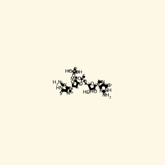 COP(=S)(OC[C@H]1O[C@@H](n2cnc3c(=S)[nH]c(N)nc32)C(O)C1O)OC1C[C@H](n2cnc3c(=S)[nH]c(N)nc32)O[C@@H]1COP(O)(O)=S